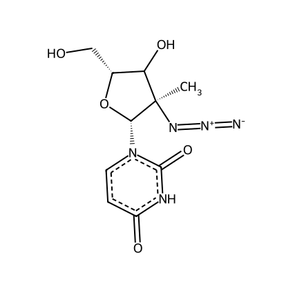 C[C@@]1(N=[N+]=[N-])C(O)[C@@H](CO)O[C@H]1n1ccc(=O)[nH]c1=O